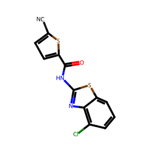 N#Cc1ccc(C(=O)Nc2nc3c(Cl)cccc3s2)s1